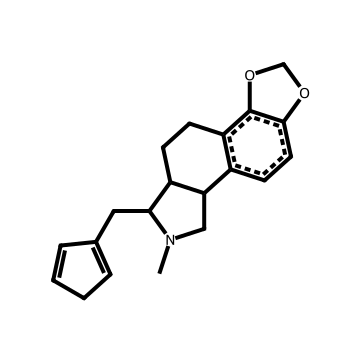 CN1CC2c3ccc4c(c3CCC2C1CC1=CCC=C1)OCO4